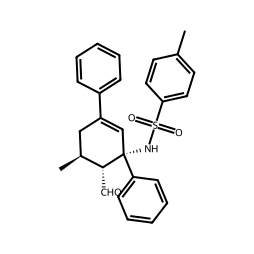 Cc1ccc(S(=O)(=O)N[C@@]2(c3ccccc3)C=C(c3ccccc3)C[C@H](C)[C@H]2C=O)cc1